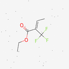 [CH2]COC(=O)C(=CC)C(F)(F)F